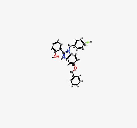 Oc1ccccc1-c1nc2cc(OCc3ccccc3)ccc2n1Cc1ccc(F)cc1